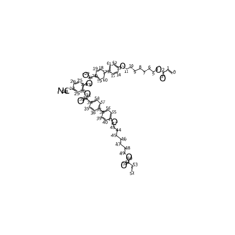 C=CC(=O)OCCCCCCCOc1ccc(-c2ccc(C(=O)Oc3ccc(C#N)cc3OC(=O)c3ccc(-c4ccc(OCCCCCCCOC(=O)C=C)cc4)cc3)cc2)cc1